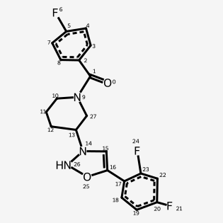 O=C(c1ccc(F)cc1)N1CCCC(N2C=C(c3ccc(F)cc3F)ON2)C1